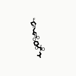 CC(C)=CC[C@H]1O[C@@]1(C)C1OC12CCC(OC(=O)N1CC(CCN3CC[C@H](F)C3)C1)CC2